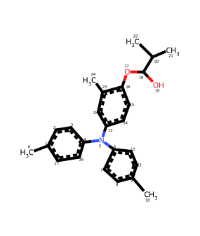 Cc1ccc(N(c2ccc(C)cc2)c2ccc(OC(O)C(C)C)c(C)c2)cc1